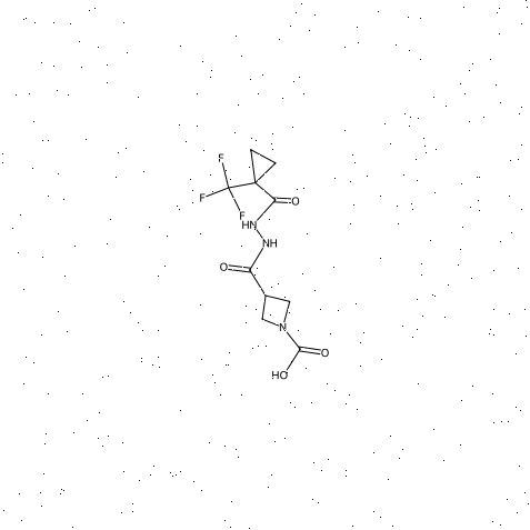 O=C(NNC(=O)C1(C(F)(F)F)CC1)C1CN(C(=O)O)C1